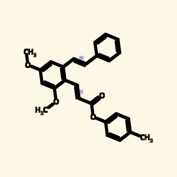 COc1cc(/C=C/c2ccccc2)c(/C=C/C(=O)Oc2ccc(C)cc2)c(OC)c1